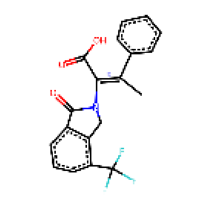 C/C(=C(/C(=O)O)N1Cc2c(cccc2C(F)(F)F)C1=O)c1ccccc1